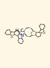 C=C1/C=C\C=C2/C/C(=C\C=C/1n1c3ccccc3c3c4sc5ccccc5c4ccc31)c1ccc3sc4ccccc4c3c12